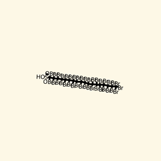 O=S(=O)(O)C(Br)(Br)C(Br)(Br)C(Br)(Br)C(Br)(Br)C(Br)(Br)C(Br)(Br)C(Br)(Br)C(Br)(Br)C(Br)(Br)C(Br)(Br)C(Br)(Br)C(Br)(Br)C(Br)(Br)C(Br)(Br)C(Br)(Br)C(Br)(Br)C(Br)(Br)C(Br)(Br)Br